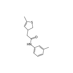 CC1=CC(CC(=O)Nc2cccc(C)c2)CS1